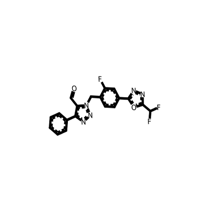 O=Cc1c(-c2ccccc2)nnn1Cc1ccc(-c2nnc(C(F)F)o2)cc1F